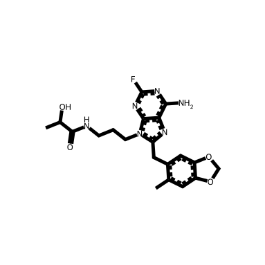 Cc1cc2c(cc1Cc1nc3c(N)nc(F)nc3n1CCCNC(=O)C(C)O)OCO2